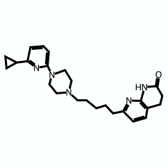 O=C1CCc2ccc(CCCCCN3CCN(c4cccc(C5CC5)n4)CC3)nc2N1